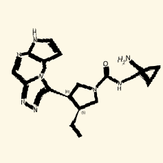 CC[C@@H]1CN(C(=O)NC2(N)CC2)C[C@@H]1c1nnc2cnc3[nH]ccc3n12